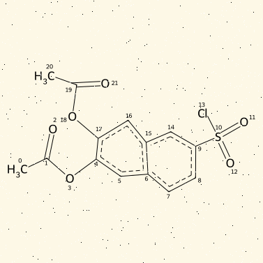 CC(=O)Oc1cc2ccc(S(=O)(=O)Cl)cc2cc1OC(C)=O